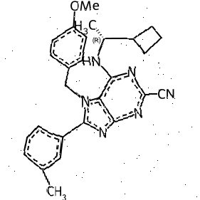 COc1ccc(Cn2c(-c3cccc(C)c3)nc3nc(C#N)nc(N[C@H](C)C4CCC4)c32)cc1